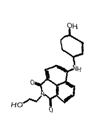 O=C1c2cccc3c(NC4CCC(O)CC4)ccc(c23)C(=O)N1CCO